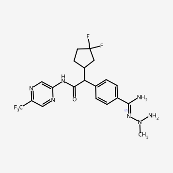 CN(N)/N=C(\N)c1ccc(C(C(=O)Nc2cnc(C(F)(F)F)cn2)C2CCC(F)(F)C2)cc1